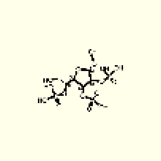 CO[C@H]1O[C@H]([C@@H](CO)OP(=O)(O)O)[C@H](OP(=O)(O)O)[C@@H]1OP(=O)(O)O